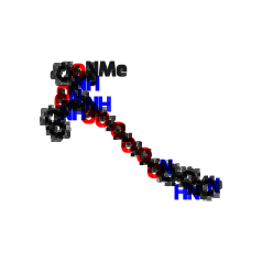 CN[C@@H](C)C(=O)N[C@H](C(=O)N1C[C@@H](NC(=O)COCCOCCOCCOCCOc2ccc(-c3ccc4c(c3)[nH]c3ccncc34)cn2)C[C@H]1C(=O)N[C@@H]1CCCc2ccccc21)C1CCCCC1